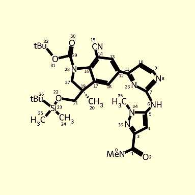 CNC(=O)c1cc(Nc2nccc(-c3cc(C#N)c4c(c3)[C@@](C)(CO[Si](C)(C)C(C)(C)C)CN4C(=O)OC(C)(C)C)n2)n(C)n1